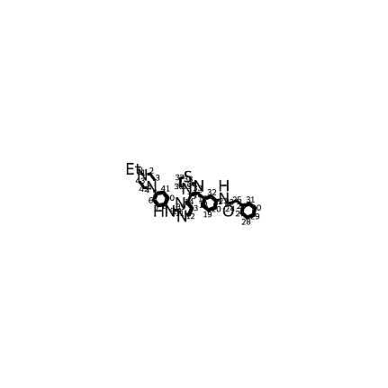 CCN1CCN(c2ccc(Nc3nccc(-c4c(-c5cccc(NC(=O)Cc6ccccc6)c5)nc5n4CCS5)n3)cc2)CC1